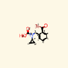 O=C(Br)c1ccccc1CN(C(=O)O)C1CC1